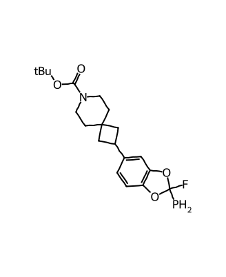 CC(C)(C)OC(=O)N1CCC2(CC1)CC(c1ccc3c(c1)OC(F)(P)O3)C2